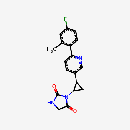 Cc1cc(F)ccc1-c1ccc([C@H]2C[C@@H]2N2C(=O)CNC2=O)cn1